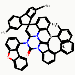 Cc1cccc(C)c1B1c2cccc3c2N2C(=CC34c3cc(C(C)(C)C)ccc3-c3ccc(C(C)(C)C)cc34)N(c3cccc4oc5ccccc5c34)C(=O)n3c2c1c1c(-c2ccccc2)cccc13